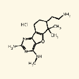 CNc1nc(N)nc2c3c(oc12)C(C)(C)C(CCN)CC3.Cl